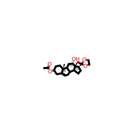 CC(=O)O[C@H]1CC[C@@]2(C)C(=CCC3C4CC[C@H](C5(C)OCCO5)[C@@]4(C)[C@@H](O)CC32)C1